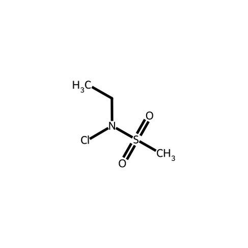 CCN(Cl)S(C)(=O)=O